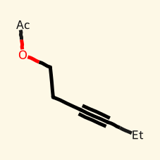 CCC#CCCOC(C)=O